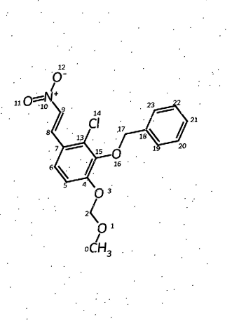 COCOc1ccc(C=C[N+](=O)[O-])c(Cl)c1OCc1ccccc1